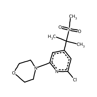 CC(C)(c1cc(Cl)nc(N2CCOCC2)c1)S(C)(=O)=O